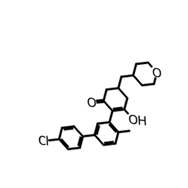 Cc1ccc(-c2ccc(Cl)cc2)cc1C1=C(O)CC(CC2CCOCC2)CC1=O